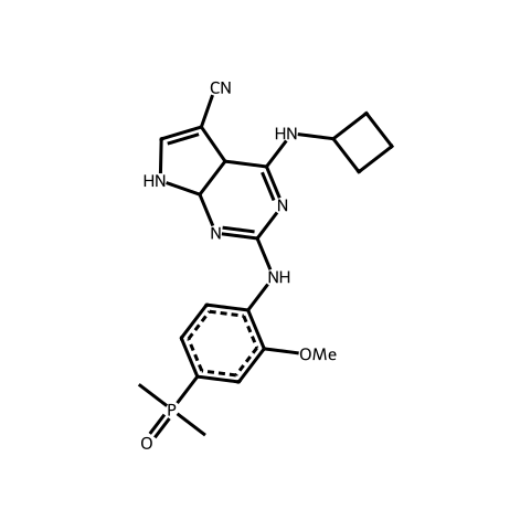 COc1cc(P(C)(C)=O)ccc1NC1=NC2NC=C(C#N)C2C(NC2CCC2)=N1